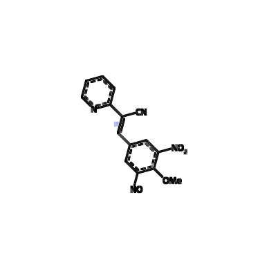 COc1c(N=O)cc(/C=C(\C#N)c2ccccn2)cc1[N+](=O)[O-]